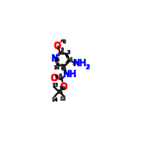 COc1cc(N)c(NC(=O)OC(C)(C)C)cn1